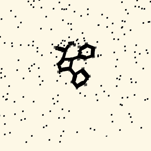 NC(=O)c1cnc(-c2ccccc2)n1-c1ccccc1